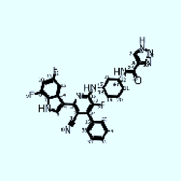 N#Cc1c(-c2c[nH]c3c(F)cc(F)cc23)nc(N[C@H]2CCC[C@@H](NC(=O)c3c[nH]nn3)C2)c(F)c1-c1ccccc1